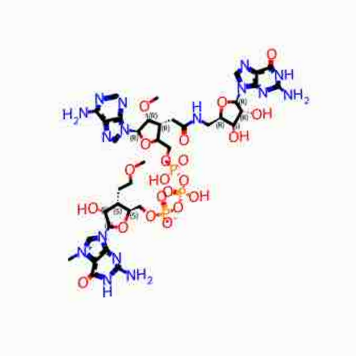 COCC[C@H]1[C@@H](O)[C@H](n2c[n+](C)c3c(=O)[nH]c(N)nc32)O[C@@H]1COP(=O)([O-])OP(=O)(O)OP(=O)(O)OCC1O[C@@H](n2cnc3c(N)ncnc32)[C@H](OC)[C@@H]1CC(=O)NC[C@H]1O[C@@H](n2cnc3c(=O)[nH]c(N)nc32)[C@H](O)[C@@H]1O